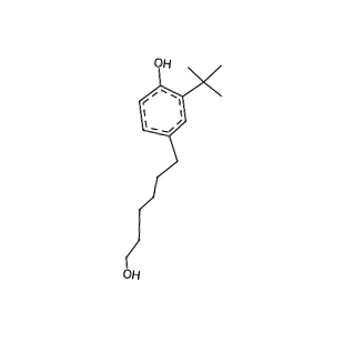 CC(C)(C)c1cc(CCCCCCO)ccc1O